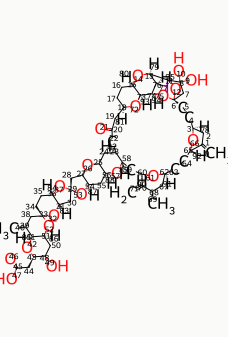 C=C1C[C@@H]2CC[C@]34CC(O)(O)C(O3)[C@@H]3O[C@H]5CC[C@H](CC(=O)C[C@@H]6CC7OC8C[C@]9(C[C@@H]%10O[C@@]%11(CC[C@@H]%10O9)C[C@H](C)[C@@H]9O[C@H](CC(=O)O)[C@H](O)C[C@@H]9O%11)O[C@@H]8C[C@@H]7O[C@H]6C[C@H]6O[C@@H](CC[C@@H]1O2)C[C@@H](C)C6=C)O[C@@H]5[C@H](O4)[C@@H]3I